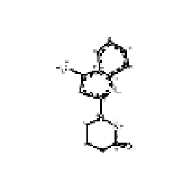 Cc1cc(N2CCCC(=O)N2)nc2ccccc12